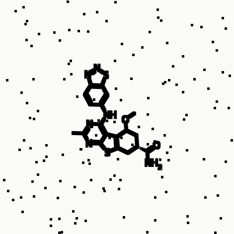 COC1C[C@H](C(N)=O)Cc2sc3nc(C)nc(Nc4ccc5nnsc5c4)c3c21